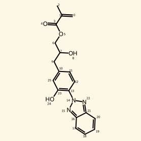 C=C(C)C(=O)OCC(O)Cc1ccc(-n2nc3ccccc3n2)c(O)c1